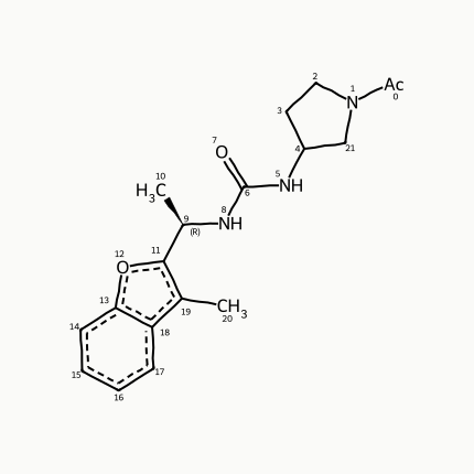 CC(=O)N1CCC(NC(=O)N[C@H](C)c2oc3ccccc3c2C)C1